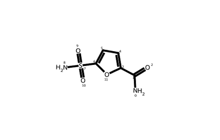 NC(=O)c1ccc(S(N)(=O)=O)o1